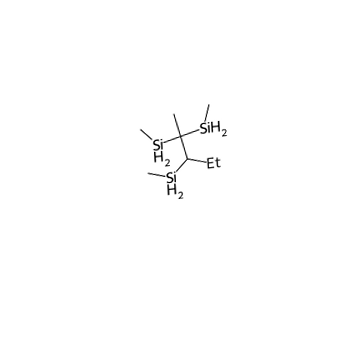 CCC([SiH2]C)C(C)([SiH2]C)[SiH2]C